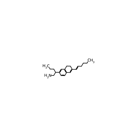 CCCC/C=C/C1=Cc2ccc(C(CN)CCC)cc2CC1